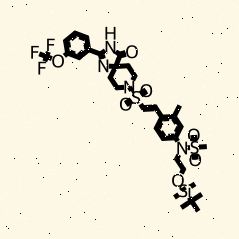 Cc1cc(N(CCO[Si](C)(C)C(C)(C)C)S(C)(=O)=O)ccc1/C=C/S(=O)(=O)N1CCC2(CC1)N=C(c1cccc(OC(F)(F)F)c1)NC2=O